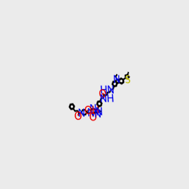 CCn1c2ccc(CNCCCC(=O)NCc3ccc(-c4c5ncn(CC6(O)CCN(C(=O)CCc7ccccc7)CC6)c(=O)c5nn4C)cc3)cc2c2ccc(-c3cc(C)cs3)cc21